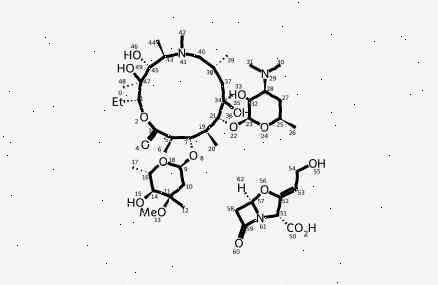 CC[C@H]1OC(=O)[C@H](C)[C@@H](O[C@H]2C[C@@](C)(OC)[C@@H](O)[C@H](C)O2)[C@H](C)[C@@H](O[C@@H]2O[C@H](C)C[C@H](N(C)C)[C@H]2O)[C@](C)(O)C[C@@H](C)CN(C)[C@H](C)[C@@H](O)[C@]1(C)O.O=C(O)[C@H]1/C(=C/CO)O[C@@H]2CC(=O)N21